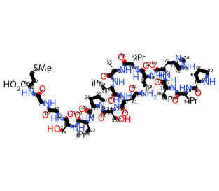 CSCC[C@H](NC(=O)CNC(=O)CNC(=O)[C@H](CO)NC(=O)[C@H](CC(C)C)NC(=O)[C@@H]1CCCN1C(=O)[C@H](CO)NC(=O)[C@H](CC(N)=O)NC(=O)[C@H](CC(C)C)NC(=O)[C@H](C)NC(=O)[C@@H](NC(=O)[C@H](CC(C)C)NC(=O)[C@H](Cc1c[nH]cn1)NC(=O)[C@H](CC(C)C)NC(=O)[C@@H](NC(=O)[C@@H]1CCCN1)C(C)C)C(C)C)C(=O)O